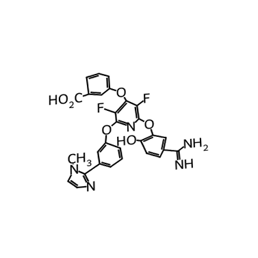 Cn1ccnc1-c1cccc(Oc2nc(Oc3cc(C(=N)N)ccc3O)c(F)c(Oc3cccc(C(=O)O)c3)c2F)c1